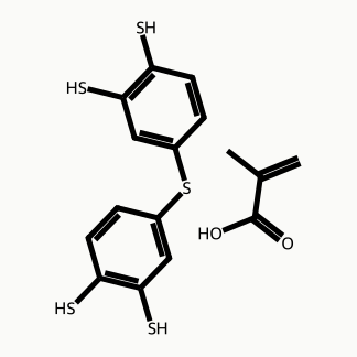 C=C(C)C(=O)O.Sc1ccc(Sc2ccc(S)c(S)c2)cc1S